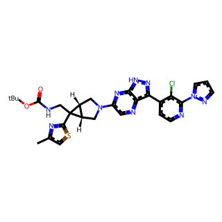 Cc1csc(C2(CNC(=O)OC(C)(C)C)[C@@H]3CN(c4cnc5c(-c6ccnc(-n7cccn7)c6Cl)n[nH]c5n4)C[C@@H]32)n1